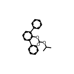 CC(C)OC(=O)Oc1c(-c2ccccc2)cccc1-c1ccccc1